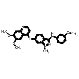 COc1cccc(Nc2nn(C)c3cc(Oc4ccnc5cc(OC)c(OC)cc45)ccc23)c1